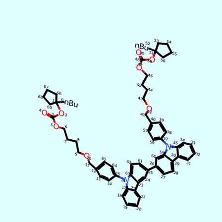 CCCCC1(OC(=O)OCCCCOCc2ccc(-n3c4ccccc4c4cc(-c5ccc6c7ccccc7n(-c7ccc(COCCCCOC(=O)OC8(CCCC)CCCC8)cc7)c6c5)ccc43)cc2)CCCC1